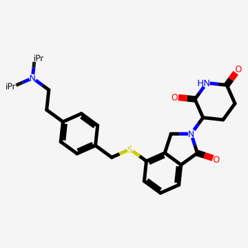 CC(C)N(CCc1ccc(CSc2cccc3c2CN(C2CCC(=O)NC2=O)C3=O)cc1)C(C)C